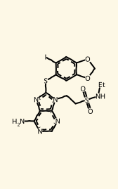 CCNS(=O)(=O)CCn1c(Sc2cc3c(cc2I)OCO3)nc2c(N)ncnc21